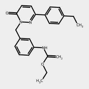 C=C(Nc1cccc(Cn2nc(-c3ccc(CC)cc3)ccc2=O)c1)OCC